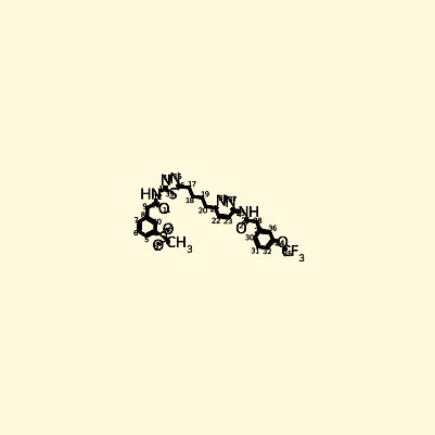 CS(=O)(=O)c1cccc(CC(=O)Nc2nnc(CCCCc3ccc(NC(=O)Cc4cccc(OC(F)(F)F)c4)nn3)s2)c1